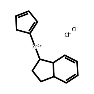 C1=CC[C]([Zr+2][CH]2CCC3C=CC=CC32)=C1.[Cl-].[Cl-]